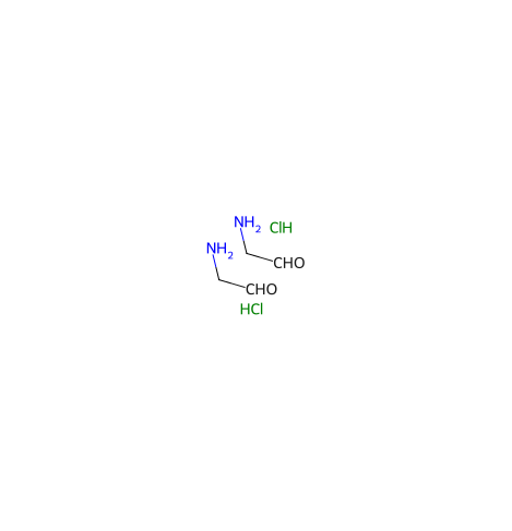 Cl.Cl.NCC=O.NCC=O